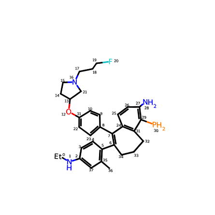 CCNc1ccc(C2=C(c3ccc(OC4CCN(CCCF)C4)cc3)c3ccc(N)c(P)c3CCC2)c(C)c1